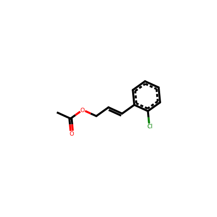 CC(=O)OCC=Cc1ccccc1Cl